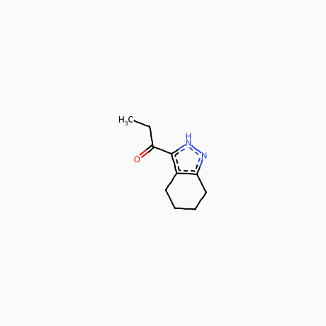 CCC(=O)c1[nH]nc2c1CCCC2